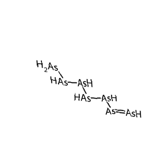 [AsH]=[As][AsH][AsH][AsH][AsH][AsH2]